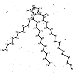 CCCCCCCCCCCCCCCC(C)[n+]1cc[nH]c1C(CCCCCCCCCCC)CCCCCCCCCCCC